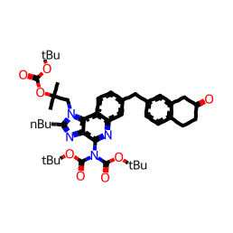 CCCCc1nc2c(N(C(=O)OC(C)(C)C)C(=O)OC(C)(C)C)nc3cc(Cc4ccc5c(c4)CC(=O)CC5)ccc3c2n1CC(C)(C)OC(=O)OC(C)(C)C